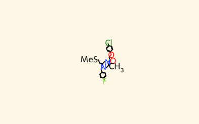 CSCCC1CN(C(=O)COc2ccc(Cl)cc2)C(C)CN1Cc1ccc(F)cc1